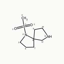 CS(=O)(=O)N1CCCC12CCNC2